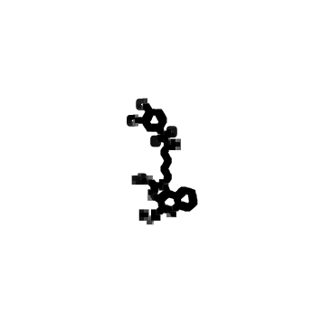 CCCCc1nc2c(N)nc3ccccc3c2n1CCCCNS(=O)(=O)c1ccc(Cl)c(Cl)c1